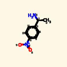 C[C@H](N)c1ccc([N+](=O)[O-])cc1